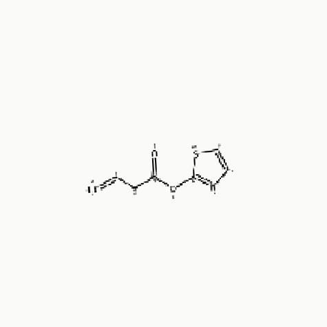 C=CCC(=O)Oc1nccs1